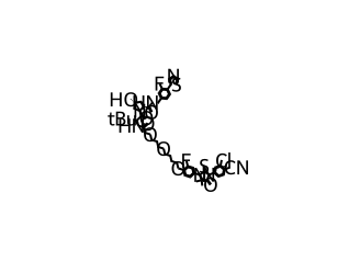 CC(C)(C)[C@H](NC(=O)COCCCOCCCCOc1ccc(N2C(=S)N(c3ccc(C#N)c(Cl)c3)C(=O)C2(C)C)cc1F)C(=O)N1C[C@H](O)C[C@H]1C(=O)NCc1ccc(-c2cncs2)c(F)c1